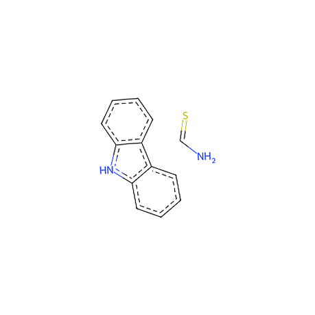 NC=S.c1ccc2c(c1)[nH]c1ccccc12